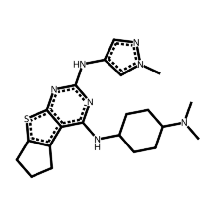 CN(C)C1CCC(Nc2nc(Nc3cnn(C)c3)nc3sc4c(c23)CCC4)CC1